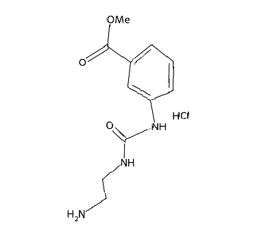 COC(=O)c1cccc(NC(=O)NCCN)c1.Cl